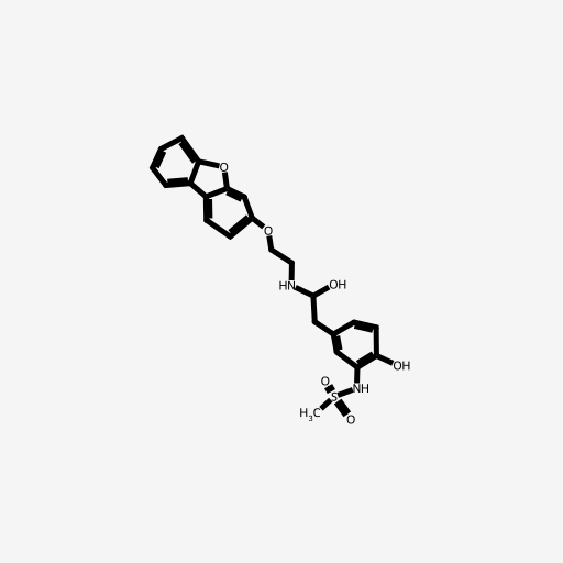 CS(=O)(=O)Nc1cc(CC(O)NCCOc2ccc3c(c2)oc2ccccc23)ccc1O